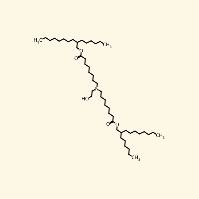 CCCCCCCCC(CCCCCC)COC(=O)CCCCCCCN(CCO)CCCCCCCC(=O)OCC(CCCCCC)CCCCCCCC